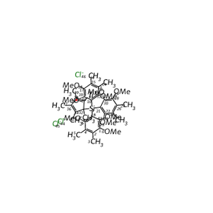 COc1c(C)c(C)c(OC)c([Si](c2c(OC)c(C)c(C)c(OC)c2OC)(c2c(OC)c(C)c(C)c(OC)c2OC)C2(C)C(C)=C(C)C(C)=[C]2[Ti+3])c1OC.[Cl-].[Cl-].[Cl-]